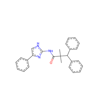 CC(C)(C(=O)Nc1nc(-c2ccccc2)c[nH]1)C(c1ccccc1)c1ccccc1